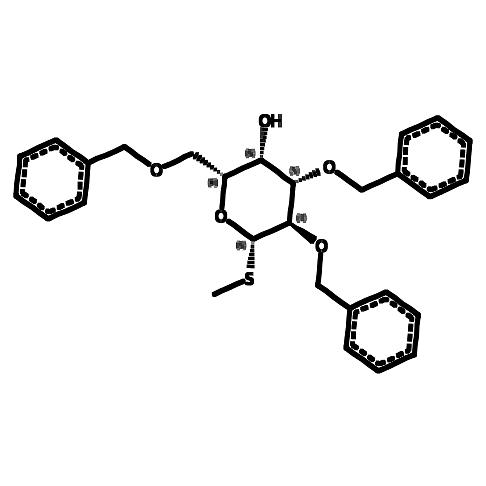 CS[C@@H]1O[C@H](COCc2ccccc2)[C@H](O)[C@H](OCc2ccccc2)[C@H]1OCc1ccccc1